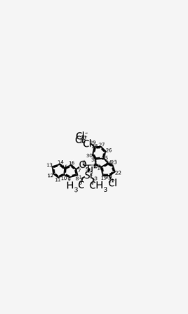 CC[Si](CC)=[Ti+2]([O]c1ccc2ccccc2c1)[CH]1c2cc(Cl)ccc2-c2ccc(Cl)cc21.[Cl-].[Cl-]